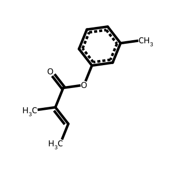 CC=C(C)C(=O)Oc1cccc(C)c1